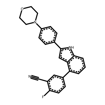 N#Cc1cc(-c2cccc3[nH]c(-c4ccc(N5CCOCC5)cc4)cc23)ccc1F